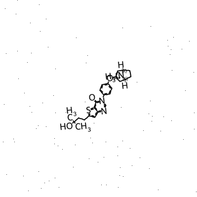 CN1[C@@H]2CC[C@H]1C[C@@H](Oc1ccc(-n3cnc4cc(CCC(C)(C)O)sc4c3=O)cc1)C2